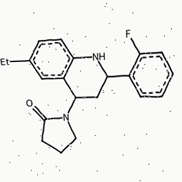 CCc1ccc2c(c1)C(N1CCCC1=O)CC(c1ccccc1F)N2